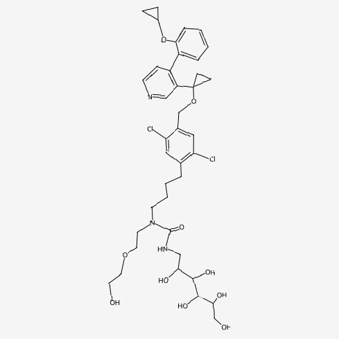 O=C(NCC(O)C(O)C(O)C(O)CO)N(CCCCc1cc(Cl)c(COC2(c3cnccc3-c3ccccc3OC3CC3)CC2)cc1Cl)CCOCCO